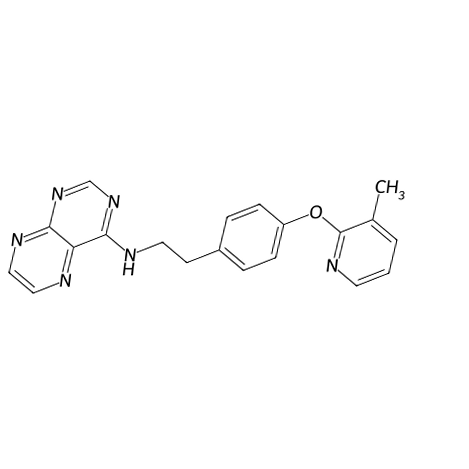 Cc1cccnc1Oc1ccc(CCNc2ncnc3nccnc23)cc1